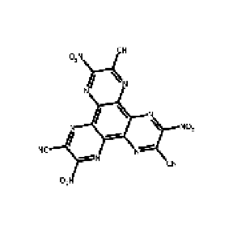 N#Cc1nc2c(nc1[N+](=O)[O-])c1nc(C#N)c([N+](=O)[O-])nc1c1nc(C#N)c([N+](=O)[O-])nc21